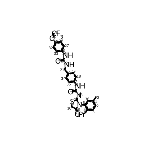 Cc1ccc(C(C)C)c(N2C(=O)CSC2=NC(=O)Nc2ccc(CNC(=O)Nc3ccc(OC(F)(F)F)cc3)cc2)c1